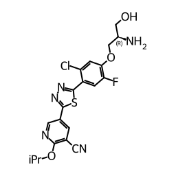 CC(C)Oc1ncc(-c2nnc(-c3cc(F)c(OC[C@H](N)CO)cc3Cl)s2)cc1C#N